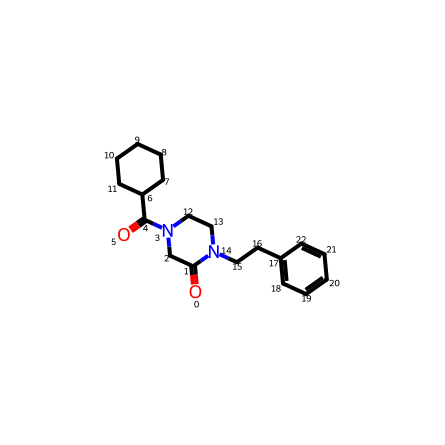 O=C1CN(C(=O)C2CCCCC2)CCN1CCc1ccccc1